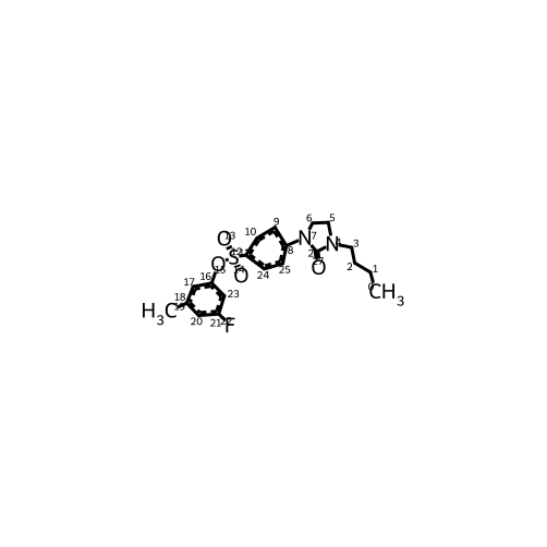 CCCCN1CCN(c2ccc(S(=O)(=O)Oc3cc(C)cc(F)c3)cc2)C1=O